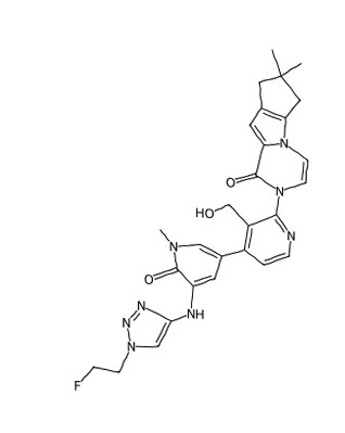 Cn1cc(-c2ccnc(-n3ccn4c5c(cc4c3=O)CC(C)(C)C5)c2CO)cc(Nc2cn(CCF)nn2)c1=O